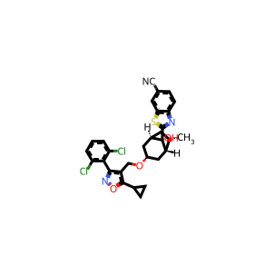 C[C@H]1C[C@@H]2C[C@H](OCc3c(-c4c(Cl)cccc4Cl)noc3C3CC3)C[C@@H]1[C@]2(O)c1nc2ccc(C#N)cc2s1